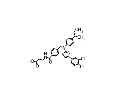 CCC(C)c1ccc(N(Cc2ccc(C(=O)NCCC(=O)O)cc2)c2nc(-c3ccc(Cl)c(Cl)c3)cs2)cc1